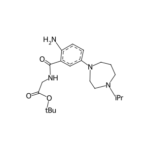 CC(C)N1CCCN(c2ccc(N)c(C(=O)NCC(=O)OC(C)(C)C)c2)CC1